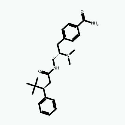 CN(C)[C@H](CNC(=O)C[C@@H](c1ccccc1)C(C)(C)C)Cc1ccc(C(N)=O)cc1